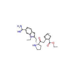 CCOC(=O)c1ccccc1CC(=O)[C@@]1(CCc2cc3ccc(C(=N)N)cc3n2CC)CCCN1